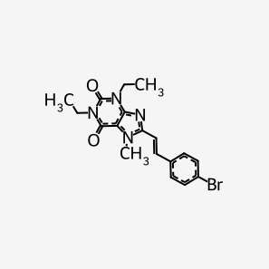 CCn1c(=O)c2c(nc(C=Cc3ccc(Br)cc3)n2C)n(CC)c1=O